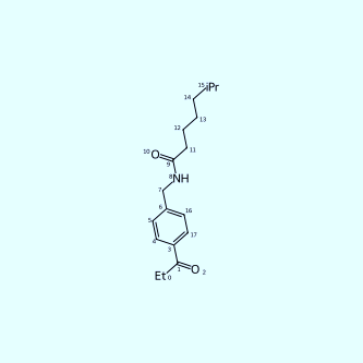 CCC(=O)c1ccc(CNC(=O)CCCCC(C)C)cc1